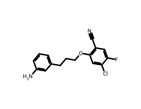 N#Cc1cc(F)c(Cl)cc1OCCCc1cccc(N)c1